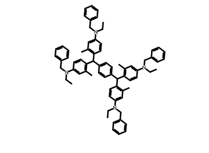 CCN(Cc1ccccc1)c1ccc(C(c2ccc(C(c3ccc(N(CC)Cc4ccccc4)cc3C)c3ccc(N(CC)Cc4ccccc4)cc3C)cc2)c2ccc(N(CC)Cc3ccccc3)cc2C)c(C)c1